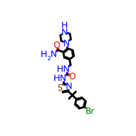 CC(C)(c1ccc(Br)cc1)c1csc(NC(=O)NCc2ccc(N3CCNCC3)c(C(N)=O)c2)n1